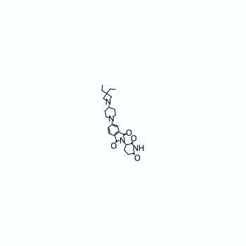 CCC1(CC)CN(C2CCN(c3ccc4c(c3)C(=O)N(C3CCC(=O)NC3=O)C4=O)CC2)C1